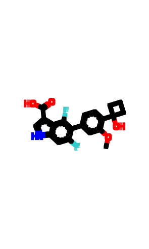 COc1cc(-c2c(F)cc3[nH]cc(C(=O)O)c3c2F)ccc1C1(O)CCC1